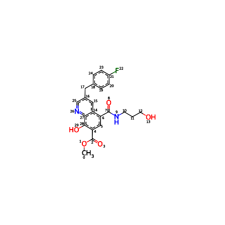 COC(=O)c1cc(C(=O)NCCCO)c2cc(Cc3ccc(F)cc3)cnc2c1O